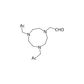 CC(=O)CN1CCN(CC=O)CCN(CC(C)=O)CC1